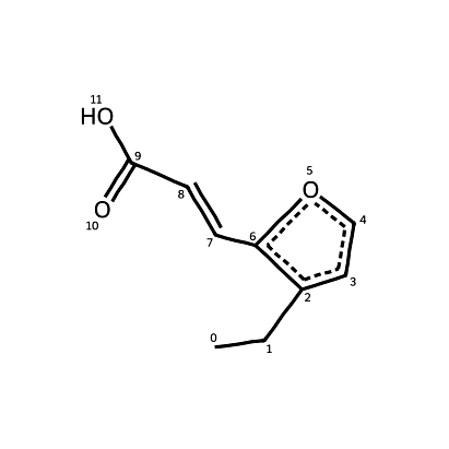 CCc1ccoc1C=CC(=O)O